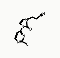 N#CCCn1ccn(-c2ccnc(Cl)n2)c1=O